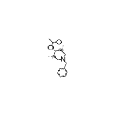 CC(=O)OC1[C@H](C)CN(Cc2ccccc2)C[C@@H]1C